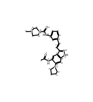 CC(=O)Nc1cc2c(/C=C/c3cccc(NC(=O)N4CCN(C)CC4)c3)n[nH]c2cc1N1CCCC1